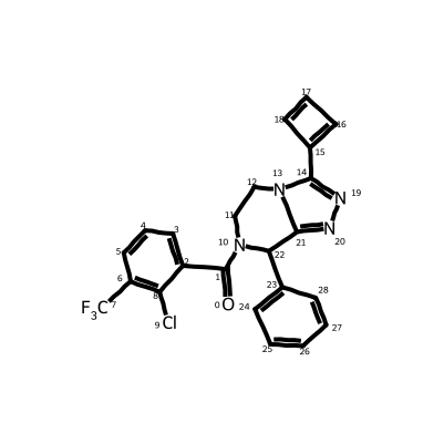 O=C(c1cccc(C(F)(F)F)c1Cl)N1CCn2c(C3=CC=C3)nnc2C1c1ccccc1